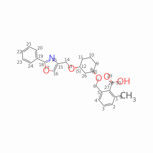 Cc1cccc(CO[C@@H]2CCC[C@H](OCc3coc(-c4ccccc4)n3)C2)c1C(=O)O